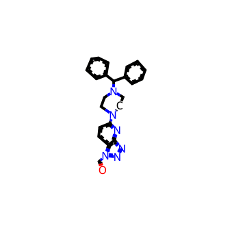 O=Cn1nnc2nc(N3CCN(C(c4ccccc4)c4ccccc4)CC3)ccc21